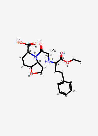 CCOC(=O)C(CCc1ccccc1)N[C@@H](C)C(=O)N1C(C(=O)O)CCC2OCCC21